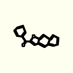 O=C(c1ccccc1)c1cc2cc3ccccc3cc2o1